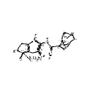 CCOC(=O)c1c(NC(=O)C23CC4CC(CC2C4)C3)sc2c1C(C)(C)CC2